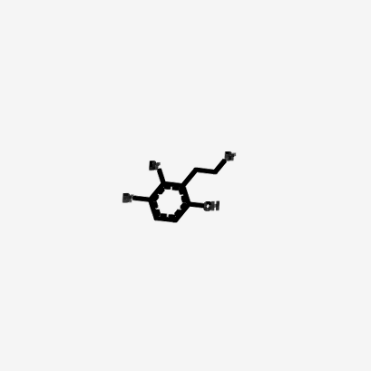 Oc1ccc(Br)c(Br)c1CCBr